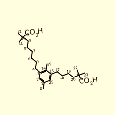 Cc1cc(CCCCCCC(C)(C)C(=O)O)c(C)c(CCCCC(C)(C)C(=O)O)c1